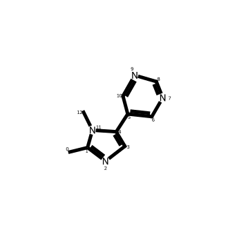 Cc1ncc(-c2cncnc2)n1C